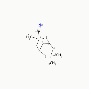 CC1(C)CC2CC(C1)CC(C)(C#N)C2